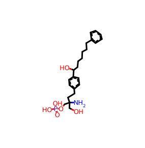 NC(CO)(CCc1ccc(C(O)CCCCCCc2ccccc2)cc1)COP(=O)(O)O